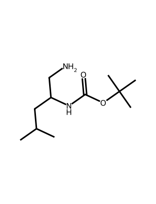 CC(C)CC(CN)NC(=O)OC(C)(C)C